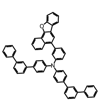 c1ccc(-c2cccc(-c3ccc(N(c4ccc(-c5cccc(-c6ccccc6)c5)cc4)c4cccc(-c5cc6c7ccccc7oc6c6ccccc56)c4)cc3)c2)cc1